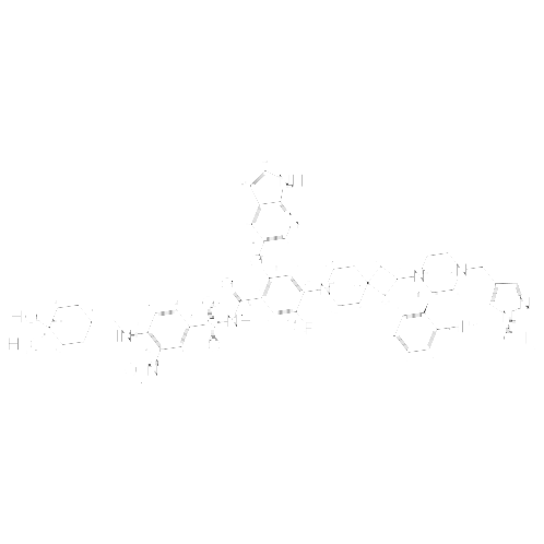 CC(C)c1ccccc1[C@@H]1CN(Cc2cnn(C)c2)CCN1C1CC2(CCN(c3cc(Oc4cnc5[nH]ccc5c4)c(C(=O)NS(=O)(=O)c4ccc(NC[C@H]5CC[C@](C)(O)CC5)c([N+](=O)[O-])c4)cc3F)CC2)C1